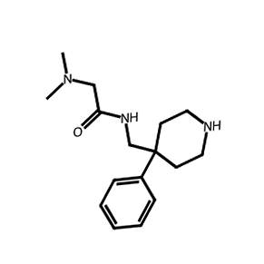 CN(C)CC(=O)NCC1(c2ccccc2)CCNCC1